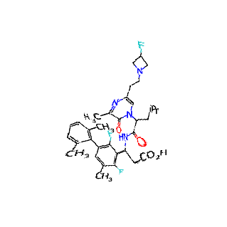 Cc1cc(-c2c(C)cccc2C)c(F)c(C(CC(=O)O)NC(=O)C(CC(C)C)n2cc(CCN3CC(F)C3)nc(C)c2=O)c1F